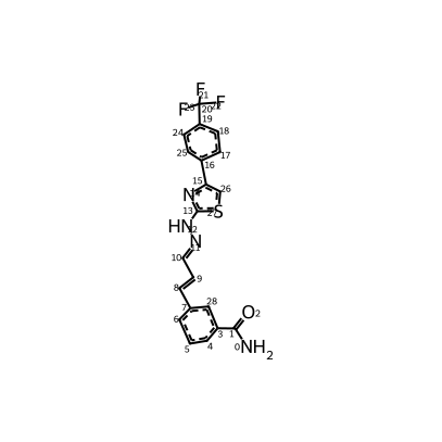 NC(=O)c1cccc(/C=C/C=N/Nc2nc(-c3ccc(C(F)(F)F)cc3)cs2)c1